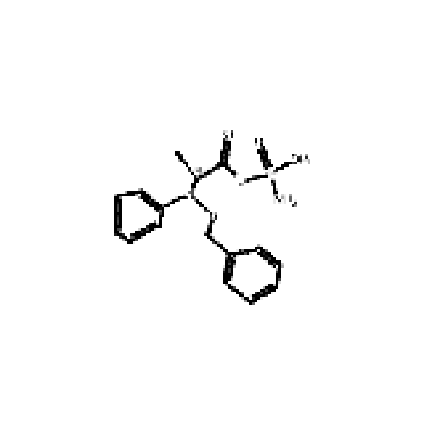 C[C@@H](C(=O)OP(N)(=O)O)N(OCc1ccccc1)c1ccccc1